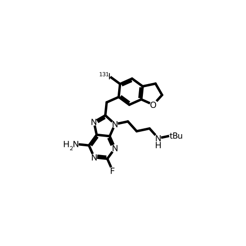 CC(C)(C)NCCCn1c(Cc2cc3c(cc2[131I])CCO3)nc2c(N)nc(F)nc21